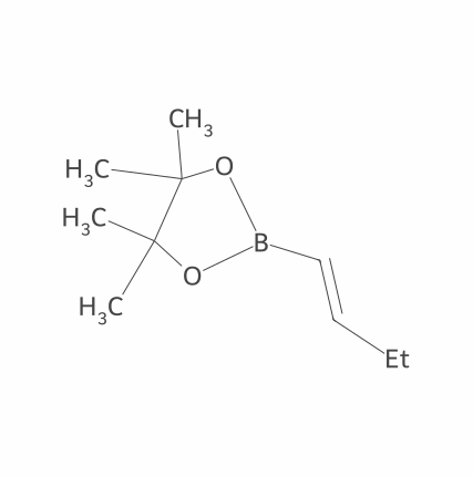 CC/C=C/B1OC(C)(C)C(C)(C)O1